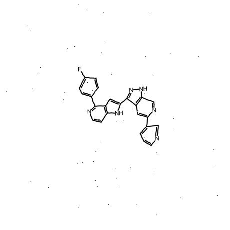 Fc1ccc(-c2nccc3[nH]c(-c4n[nH]c5cnc(-c6cccnc6)cc45)cc23)cc1